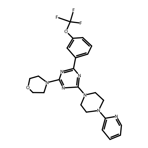 FC(F)(F)Oc1cccc(-c2nc(N3CCOCC3)nc(N3CCN(c4ccccn4)CC3)n2)c1